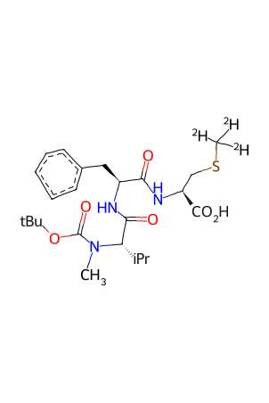 [2H]C([2H])([2H])SC[C@H](NC(=O)[C@H](Cc1ccccc1)NC(=O)[C@H](C(C)C)N(C)C(=O)OC(C)(C)C)C(=O)O